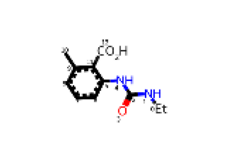 CCNC(=O)Nc1cccc(C)c1C(=O)O